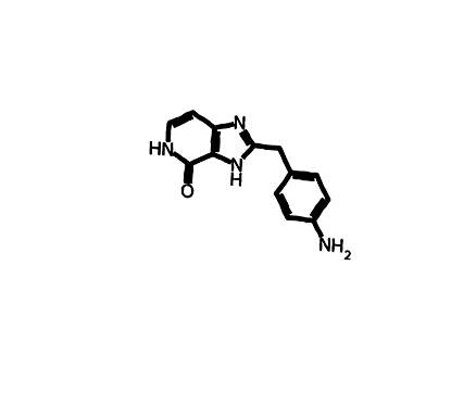 Nc1ccc(Cc2nc3cc[nH]c(=O)c3[nH]2)cc1